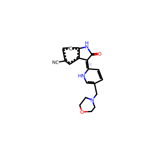 N#Cc1ccc2c(c1)/C(=C1/C=CC(CN3CCOCC3)=CN1)C(=O)N2